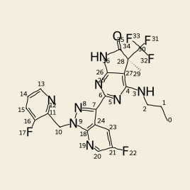 CCCNc1nc(-c2nn(Cc3ncccc3F)c3ncc(F)cc23)nc2c1[C@](C)(C(F)(F)F)C(=O)N2